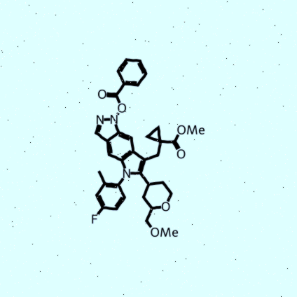 COCC1CC(c2c(CC3(C(=O)OC)CC3)c3cc4c(cnn4OC(=O)c4ccccc4)cc3n2-c2ccc(F)cc2C)CCO1